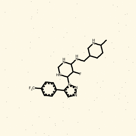 CC1CCC(CNC2NCNC(n3nncc3-c3ccc(C(F)(F)F)cc3)C2F)CN1